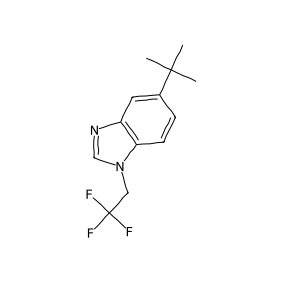 CC(C)(C)c1ccc2c(c1)ncn2CC(F)(F)F